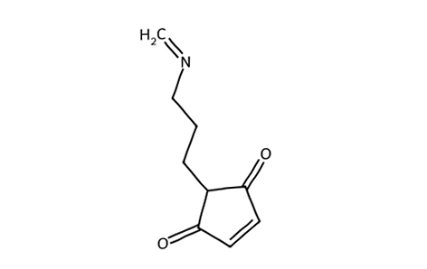 C=NCCCC1C(=O)C=CC1=O